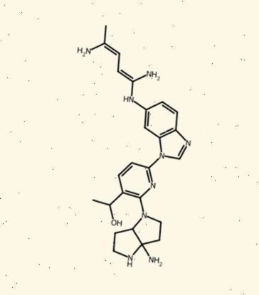 C/C(N)=C/C=C(\N)Nc1ccc2ncn(-c3ccc(C(C)O)c(N4CCC5(N)NCCC45)n3)c2c1